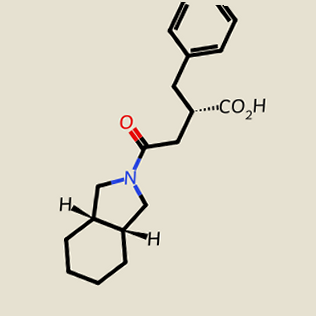 O=C(O)[C@H](CC(=O)N1C[C@H]2CCCC[C@H]2C1)Cc1ccccc1